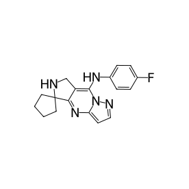 Fc1ccc(Nc2c3c(nc4ccnn24)C2(CCCC2)NC3)cc1